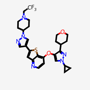 FC(F)(F)CN1CCC(n2cc(-c3cc4nccc(Oc5cn(C6CC6)nc5C5CCOCC5)c4s3)cn2)CC1